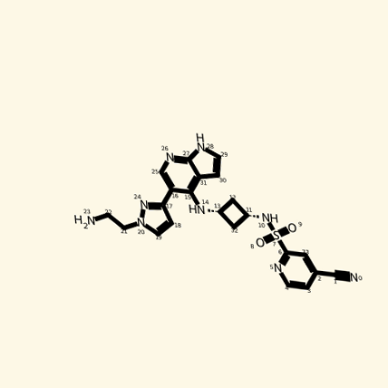 N#Cc1ccnc(S(=O)(=O)N[C@H]2C[C@@H](Nc3c(-c4ccn(CCN)n4)cnc4[nH]ccc34)C2)c1